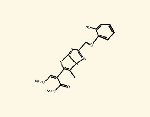 COC=C(C(=O)OC)c1sc2nc(COc3ccccc3C#N)nn2c1C